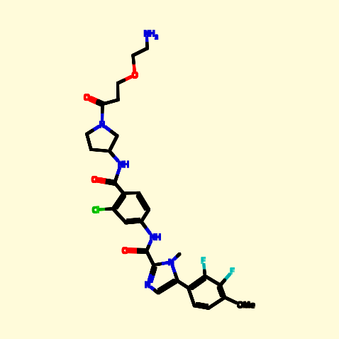 COc1ccc(-c2cnc(C(=O)Nc3ccc(C(=O)NC4CCN(C(=O)CCOCCN)C4)c(Cl)c3)n2C)c(F)c1F